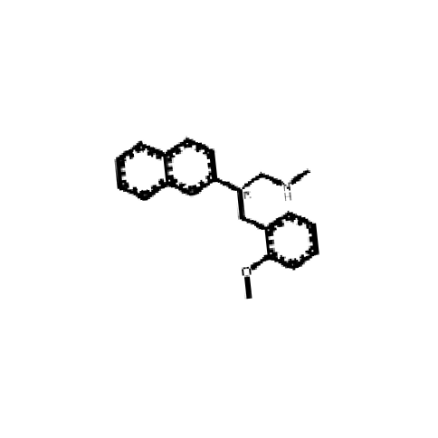 CNC[C@@H](Cc1ccccc1OC)c1ccc2ccccc2c1